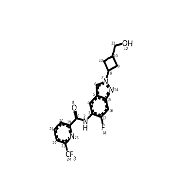 O=C(Nc1cc2cn(C3CC(CO)C3)nc2cc1F)c1cccc(C(F)(F)F)n1